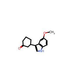 COc1ccc2[nH]cc(C3CCCC(=O)C3)c2c1